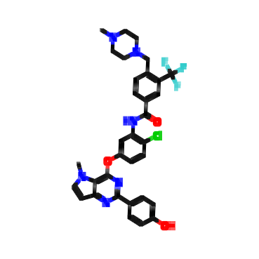 CN1CCN(Cc2ccc(C(=O)Nc3cc(Oc4nc(-c5ccc(O)cc5)nc5ccn(C)c45)ccc3Cl)cc2C(F)(F)F)CC1